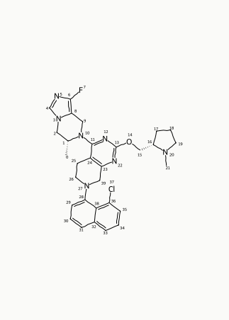 C[C@@H]1Cn2cnc(F)c2CN1c1nc(OC[C@@H]2CCCN2C)nc2c1CCN(c1cccc3cccc(Cl)c13)C2